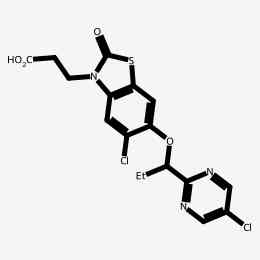 CCC(Oc1cc2sc(=O)n(CCC(=O)O)c2cc1Cl)c1ncc(Cl)cn1